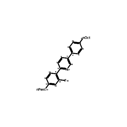 CCCCCCCCc1ccc(-c2ccc(-c3ccc(CCCCC)cc3F)nc2)cc1